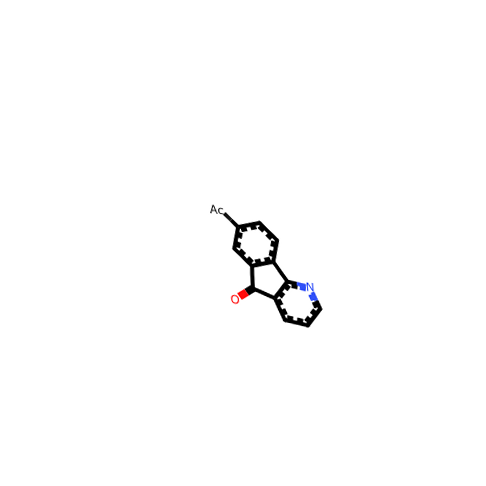 CC(=O)c1ccc2c(c1)C(=O)c1cccnc1-2